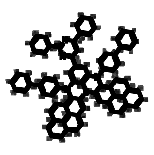 c1ccc(-c2ccc(N3c4cc(-c5cc(-c6ccccc6)nc(-c6ccccc6)n5)cc5c4B(c4cc6ccc7cccc8ccc(c43)c6c78)c3cc4ccc6cccc7ccc(c3N5c3ccc(-c5ccccc5)cc3)c4c67)cc2)cc1